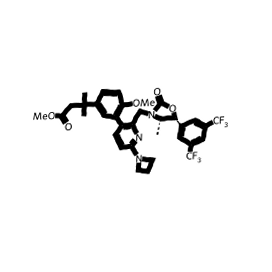 COC(=O)CC(C)(C)c1ccc(OC)c(-c2ccc(N3CCC3)nc2CN2C(=O)O[C@H](c3cc(C(F)(F)F)cc(C(F)(F)F)c3)[C@@H]2C)c1